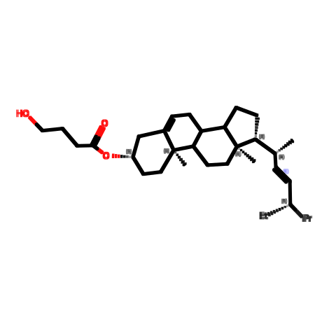 CC[C@H](/C=C/[C@@H](C)[C@H]1CCC2C3CC=C4C[C@@H](OC(=O)CCCO)CC[C@]4(C)C3CC[C@@]21C)C(C)C